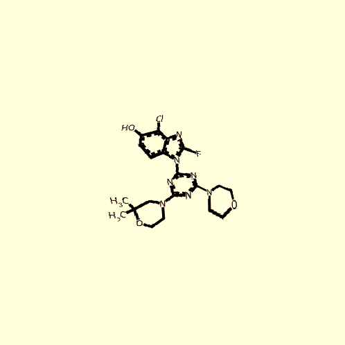 CC1(C)CN(c2nc(N3CCOCC3)nc(-n3c(F)nc4c(Cl)c(O)ccc43)n2)CCO1